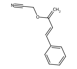 C=C(/C=C/c1ccccc1)OCC#N